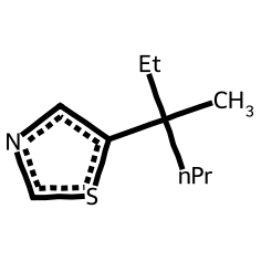 CCCC(C)(CC)c1cncs1